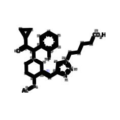 CC(=O)SC1CCN(C(C(=O)C2CC2)c2ccccc2F)C/C1=C\c1cn(CCCCC(=O)O)nn1